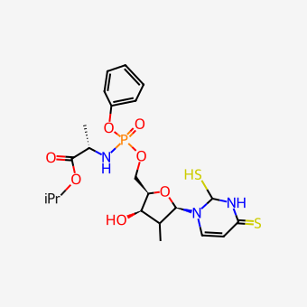 CC(C)OC(=O)[C@H](C)NP(=O)(OC[C@H]1O[C@@H](N2C=CC(=S)NC2S)C(C)[C@H]1O)Oc1ccccc1